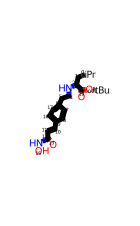 CC(C)CC(NCCc1ccc(/C=C/C(=O)NO)cc1)C(=O)OC(C)(C)C